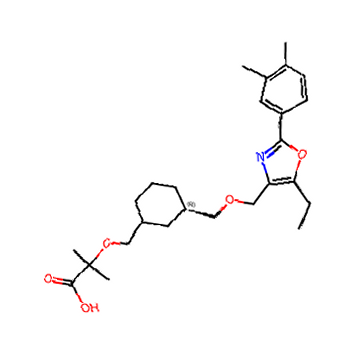 CCc1oc(-c2ccc(C)c(C)c2)nc1COC[C@@H]1CCCC(COC(C)(C)C(=O)O)C1